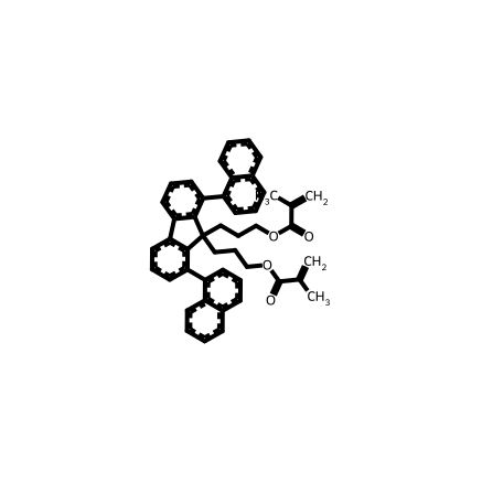 C=C(C)C(=O)OCCCC1(CCCOC(=O)C(=C)C)c2c(cccc2-c2cccc3ccccc23)-c2cccc(-c3cccc4ccccc34)c21